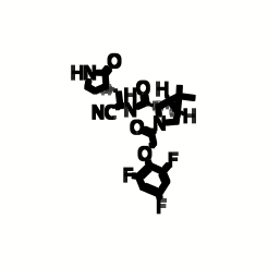 CC1(C)[C@@H]2[C@@H](C(=O)NC(C#N)C[C@@H]3CCNC3=O)N(C(=O)COc3c(F)cc(F)cc3F)C[C@@H]21